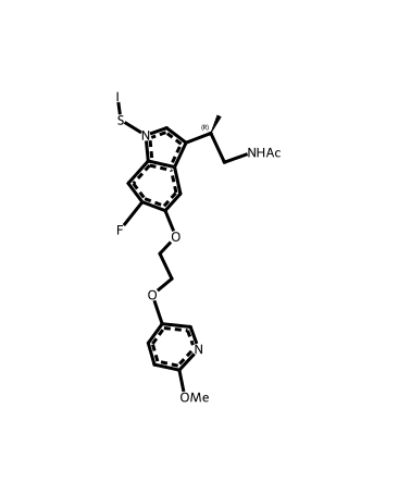 COc1ccc(OCCOc2cc3c([C@@H](C)CNC(C)=O)cn(SI)c3cc2F)cn1